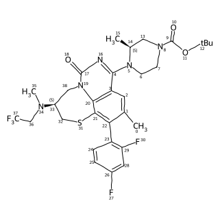 Cc1cc2c(N3CCN(C(=O)OC(C)(C)C)C[C@@H]3C)nc(=O)n3c2c(c1-c1ccc(F)cc1F)SC[C@@H](N(C)CC(F)(F)F)C3